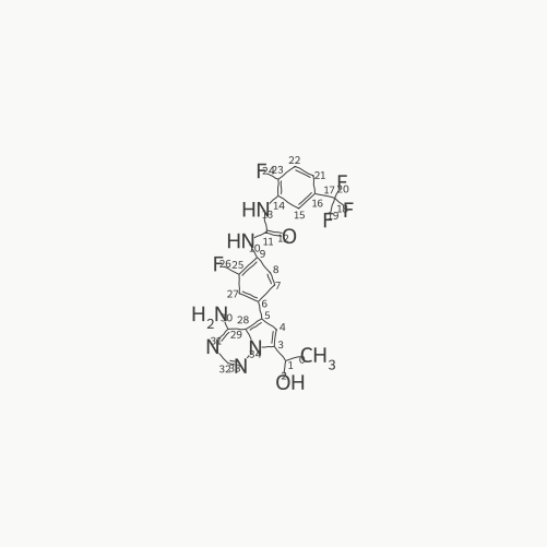 CC(O)c1cc(-c2ccc(NC(=O)Nc3cc(C(F)(F)F)ccc3F)c(F)c2)c2c(N)ncnn12